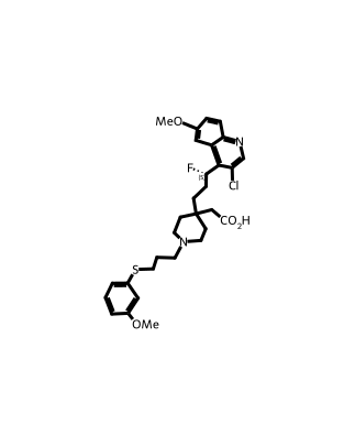 COc1cccc(SCCCN2CCC(CC[C@H](F)c3c(Cl)cnc4ccc(OC)cc34)(CC(=O)O)CC2)c1